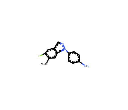 COc1cc2c(cnn2-c2ccc(N)cc2)cc1F